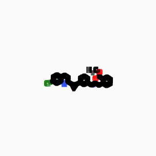 COC(=O)c1ccccc1C/C=C/c1cccc(C2CC2c2ccc3ccc(Cl)cc3n2)c1